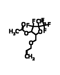 C=CCOCC1OC(C)(C(F)(F)F)C(F)(F)C1OC(C)=O